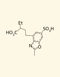 CCC(CCc1cc(S(=O)(=O)O)cc2oc(C)nc12)C(=O)O